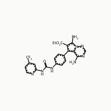 Bc1c(C(=O)OCC)c(-c2ccc(NC(=O)Nc3cc(C(F)(F)F)ccn3)cc2)c2c(N)ncnn12